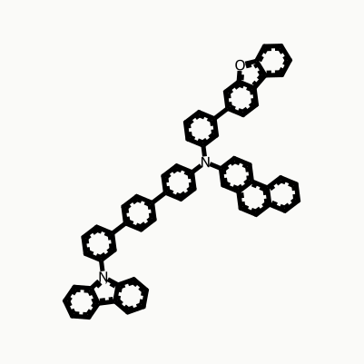 c1cc(-c2ccc3c(c2)oc2ccccc23)cc(N(c2ccc(-c3ccc(-c4cccc(-n5c6ccccc6c6ccccc65)c4)cc3)cc2)c2ccc3c(ccc4ccccc43)c2)c1